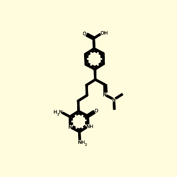 CN(C)N=CC(CCCc1c(N)nc(N)[nH]c1=O)c1ccc(C(=O)O)cc1